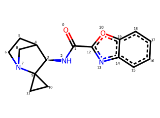 O=C(N[C@@H]1C2CCN(C2)C12CC2)c1nc2ccccc2o1